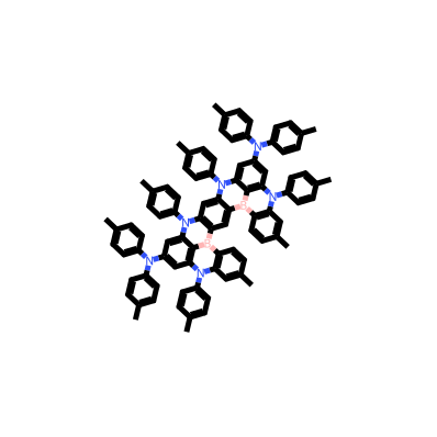 Cc1ccc(N(c2ccc(C)cc2)c2cc3c4c(c2)N(c2ccc(C)cc2)c2cc5c(cc2B4c2ccc(C)cc2N3c2ccc(C)cc2)B2c3ccc(C)cc3N(c3ccc(C)cc3)c3cc(N(c4ccc(C)cc4)c4ccc(C)cc4)cc(c32)N5c2ccc(C)cc2)cc1